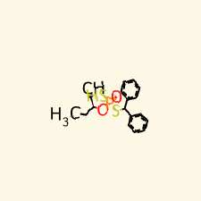 C#C[C@H](CC)OP(=O)(S)SC(c1ccccc1)c1ccccc1